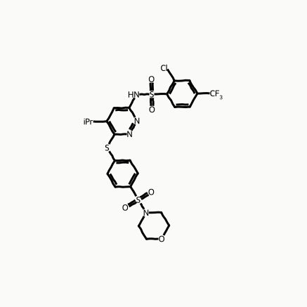 CC(C)c1cc(NS(=O)(=O)c2ccc(C(F)(F)F)cc2Cl)nnc1Sc1ccc(S(=O)(=O)N2CCOCC2)cc1